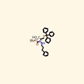 CC(C)(C)OC(=O)N(NCCCc1ccccc1)[C@@H](CSC(c1ccccc1)(c1ccccc1)c1ccccc1)C(=O)O